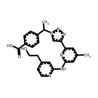 Cc1cc(Nc2cc(CCO)ccn2)nc(-c2cn(C(C)c3ccc(C(=O)O)cc3)nn2)c1